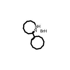 Br.C1=C(C2=NNCCCCCCC2)CCCCCCCC1